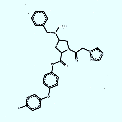 O=C(Nc1ccc(Oc2ccc(F)cc2)cc1)C1CC(N(Cc2ccccc2)C(=O)O)CN1C(=O)Cn1cncn1